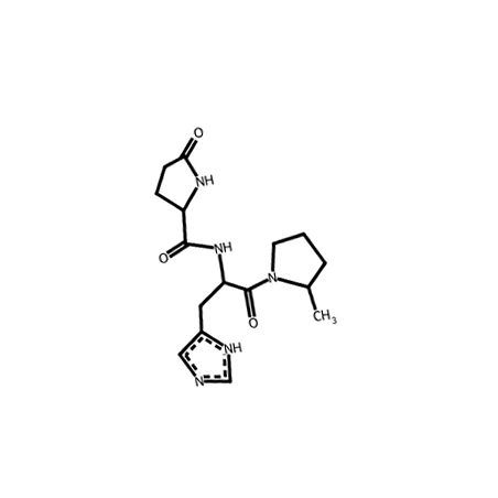 CC1CCCN1C(=O)C(Cc1cnc[nH]1)NC(=O)C1CCC(=O)N1